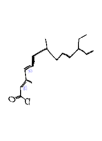 CCC(CC)CCCC(C)C/C=C/C(C)=C/C(=O)Cl